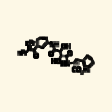 CCCN(CCC)C(=O)c1cccc(NC(=O)C(O)C(O)C(=O)N[C@H](Cc2ccccc2)C(=O)OCC)c1